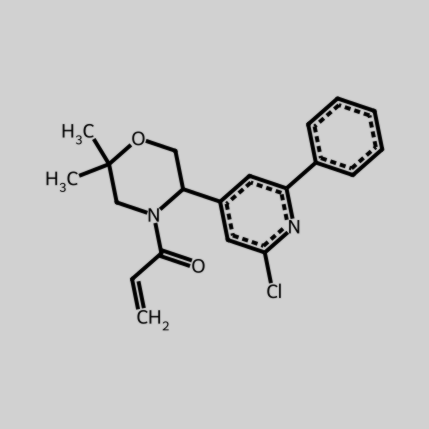 C=CC(=O)N1CC(C)(C)OCC1c1cc(Cl)nc(-c2ccccc2)c1